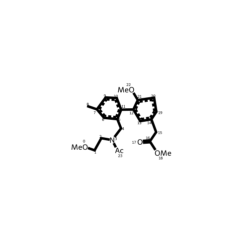 COCCN(Cc1cc(C)ccc1-c1cc(CC(=O)OC)ccc1OC)C(C)=O